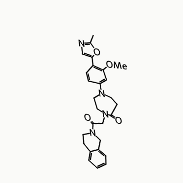 COc1cc(N2CCC(=O)N(CC(=O)N3CCc4ccccc4C3)CC2)ccc1-c1cnc(C)o1